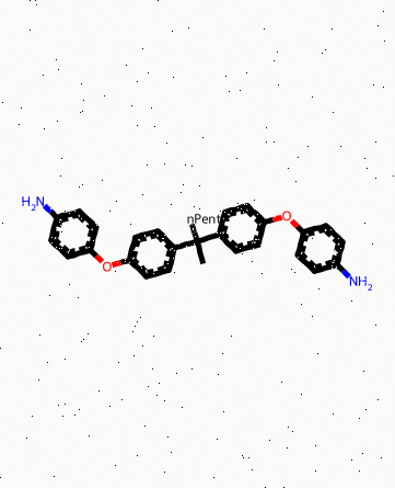 CCCCCC(C)(c1ccc(Oc2ccc(N)cc2)cc1)c1ccc(Oc2ccc(N)cc2)cc1